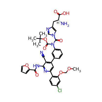 COCOc1cc(Cl)ccc1-c1cc(-c2cccc(N(C(=O)OC(C)(C)C)C(=O)n3cnc(C[C@@H](N)C(=O)O)c3)c2)c(C#N)c(NC(=O)c2ccco2)n1